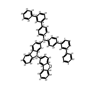 c1ccc(-c2cccc(-c3ccc(N(c4ccc(-c5cccc(-c6ccccc6)c5)cc4)c4ccc5c6ccccc6n(-c6ccc7oc8ccccc8c7c6)c5c4)cc3)c2)cc1